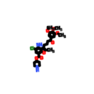 COc1cc(C(=O)CCCc2c(C)oc3c(C(=O)OC4CCNCC4)cc(Cl)c(N)c23)cc(OC)c1OC